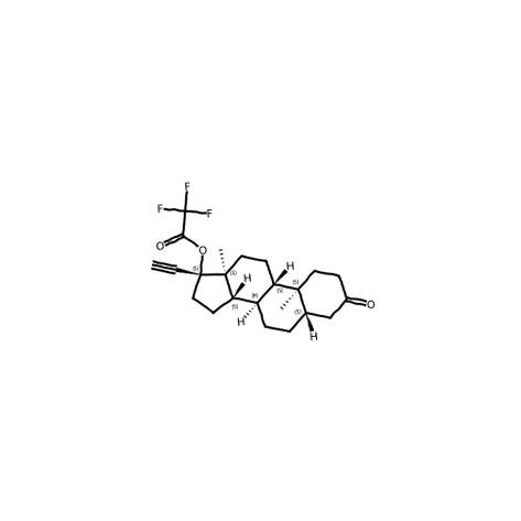 C#C[C@]1(OC(=O)C(F)(F)F)CC[C@H]2[C@@H]3CC[C@H]4CC(=O)CC[C@]4(C)[C@H]3CC[C@@]21C